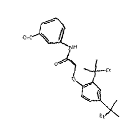 CCC(C)(C)c1ccc(OCC(=O)Nc2cccc([C]=O)c2)c(C(C)(C)CC)c1